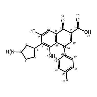 Nc1c(C2CCC(N)C2)c(F)cc2c(=O)c(C(=O)O)cn(-c3ccc(F)cc3)c12